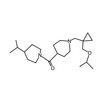 CC(C)OCC1(CN2CCC(C(=O)N3CCC(C(C)C)CC3)CC2)CC1